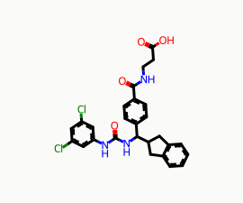 O=C(O)CCNC(=O)c1ccc(C(NC(=O)Nc2cc(Cl)cc(Cl)c2)C2Cc3ccccc3C2)cc1